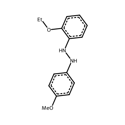 CCOc1ccccc1NNc1ccc(OC)cc1